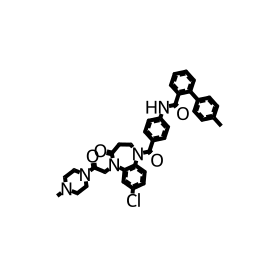 Cc1ccc(-c2ccccc2C(=O)Nc2ccc(C(=O)N3CCC(=O)N(CC(=O)N4CCN(C)CC4)c4cc(Cl)ccc43)cc2)cc1